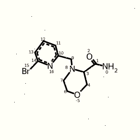 NC(=O)C1COCCN1Cc1cccc(Br)n1